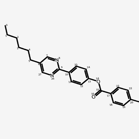 CCCCCCc1cnc(-c2ccc(OC(=O)c3ccc(C)cc3)cc2)nc1